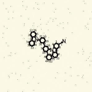 N#Cc1ccc2c(c1)c1ccccc1n2-c1cc(-c2cccc(-n3c4ccccc4c4ccccc43)c2)ccc1-c1ccccc1